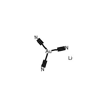 N#[C][Au]([C]#N)[C]#N.[Li]